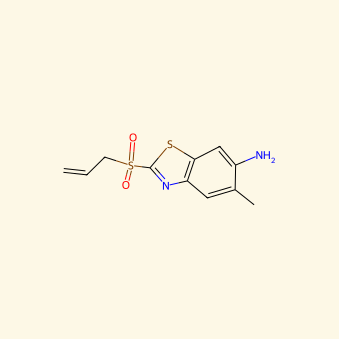 C=CCS(=O)(=O)c1nc2cc(C)c(N)cc2s1